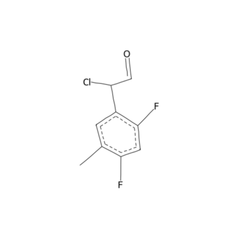 Cc1cc(C(Cl)C=O)c(F)cc1F